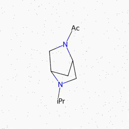 CC(=O)N1CC2CC1CN2C(C)C